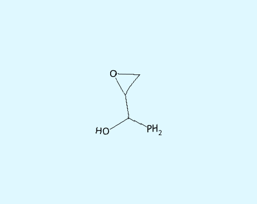 OC(P)C1CO1